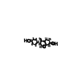 C=C1C(c2ccc(O)cc2)=COc2cc(O)ccc21